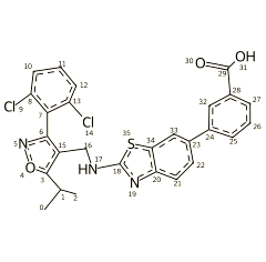 CC(C)c1onc(-c2c(Cl)cccc2Cl)c1CNc1nc2ccc(-c3cccc(C(=O)O)c3)cc2s1